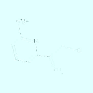 C=C(CCl)c1cccc(OC)n1